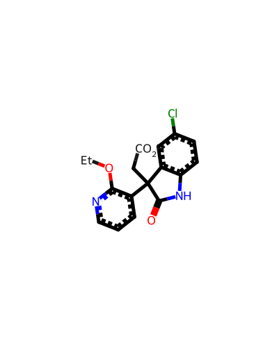 CCOc1ncccc1C1(CC(=O)O)C(=O)Nc2ccc(Cl)cc21